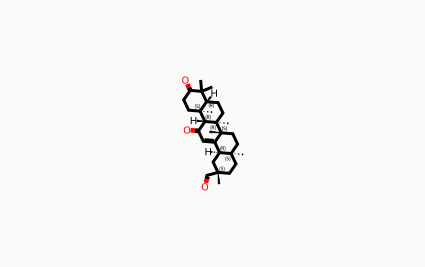 CC1(C)C(=O)CC[C@]2(C)[C@H]3C(=O)C=C4[C@@H]5C[C@@](C)(C=O)CC[C@]5(C)CC[C@@]4(C)[C@]3(C)CC[C@@H]12